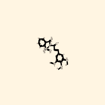 COc1cc(C=CC(=O)N2C(=O)c3ccccc3S2(=O)=O)cc(OC)c1OC